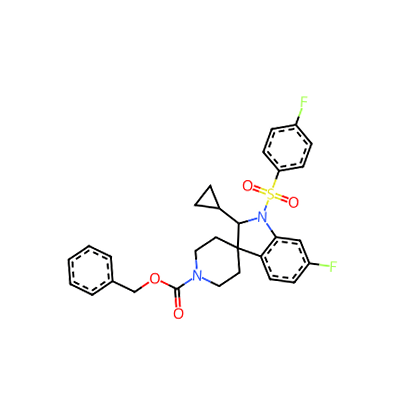 O=C(OCc1ccccc1)N1CCC2(CC1)c1ccc(F)cc1N(S(=O)(=O)c1ccc(F)cc1)C2C1CC1